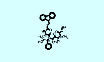 C[C@H](NC(=O)[C@H](C)N(C(=O)[C@H](C)NC(=O)OCC1c2ccccc2-c2ccccc21)[C@@H](CO)c1ccccc1)C(=O)OC(C)(C)C